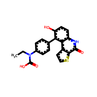 CCN(C(=O)O)c1ccc(-c2c(O)ccc3[nH]c(=O)c4sccc4c23)cc1